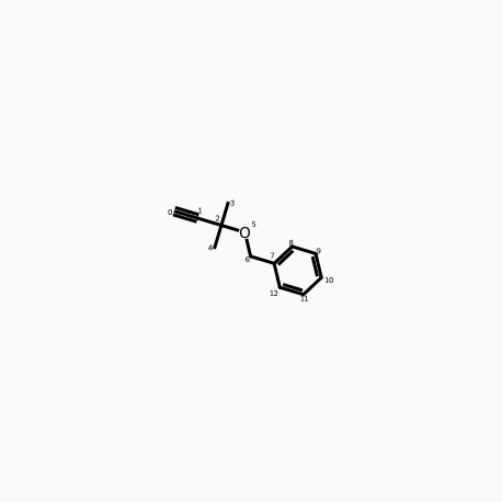 C#CC(C)(C)OCc1ccccc1